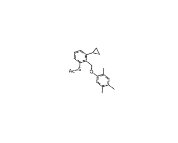 CC(=O)Sc1cccc(C2CC2)c1COc1cc(C)c(C)cc1C